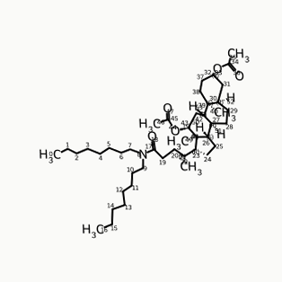 CCCCCCCCN(CCCCCCCC)C(=O)CC[C@@H](C)[C@H]1CC[C@H]2[C@@H]3CC[C@@H]4C[C@H](OC(C)=O)CC[C@]4(C)[C@H]3C[C@H](OC(C)=O)[C@]12C